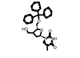 Cc1cn([C@H]2CC(CO)[C@@H](COC(c3ccccc3)(c3ccccc3)c3ccccc3)O2)c(=O)[nH]c1=O